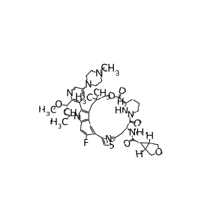 CCn1c(-c2cc(N3CCN(C)CC3)cnc2[C@H](C)OC)c2c3cc(c(F)cc31)-c1csc(n1)C[C@H](NC(=O)[C@H]1[C@@H]3COC[C@@H]31)C(=O)N1CCC[C@H](N1)C(=O)OCC(C)(C)C2